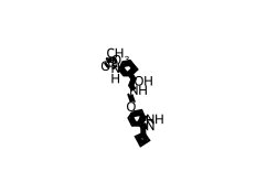 CCS(=O)(=O)Nc1cccc([C@@H](O)CNCCOc2ccc3c(C4CCC4)n[nH]c3c2)c1